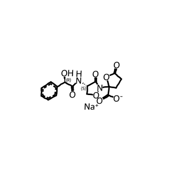 O=C1CCC(C(=O)[O-])(N2OC[C@H](NC(=O)[C@H](O)c3ccccc3)C2=O)O1.[Na+]